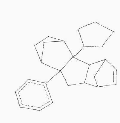 C1=CC2CC1C1CC3(c4ccccc4)C4CCC(C4)C3(C3CCCC3)C21